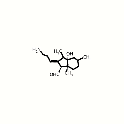 CC1CC[C@]2(C)[C@@H](C=O)C(=CCCN)C(C)[C@@]2(O)C1